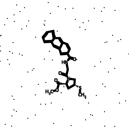 COC(=O)[C@@H]1C[C@@H](SC)CN1C(=O)CNC(=O)c1ccc2cc3ccccc3cc2c1